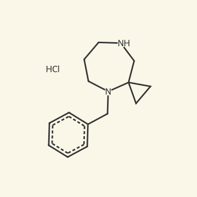 Cl.c1ccc(CN2CCCNCC23CC3)cc1